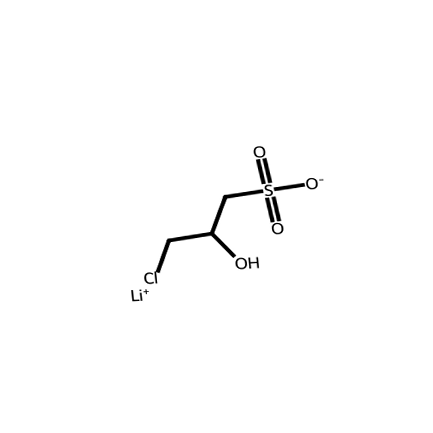 O=S(=O)([O-])CC(O)CCl.[Li+]